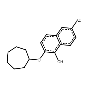 CC(=O)c1ccc2c(O)c(OC3CCCCCC3)ccc2c1